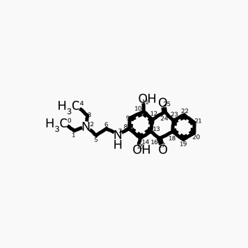 CCN(CC)CCNc1cc(O)c2c(c1O)C(=O)c1ccccc1C2=O